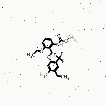 CCOc1cccc(NC(=O)OC)c1COc1cc(C)c(CC)cc1C(F)(F)F